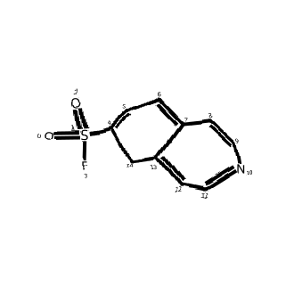 O=S(=O)(F)C1=CC=C2C=CN=CC=C2C1